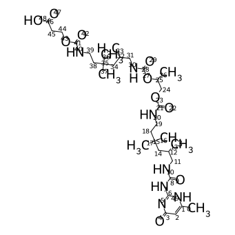 Cc1cc(=O)nc(NC(=O)NCC(C)CC(C)(C)CCNC(=O)OCC(C)OC(=O)NCC(C)CC(C)(C)CCNC(=O)OCCC(=O)O)[nH]1